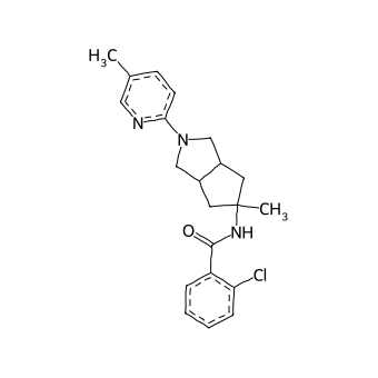 Cc1ccc(N2CC3CC(C)(NC(=O)c4ccccc4Cl)CC3C2)nc1